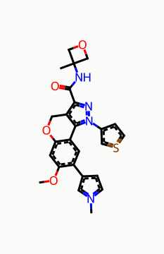 COc1cc2c(cc1-c1ccn(C)c1)-c1c(c(C(=O)NC3(C)COC3)nn1-c1ccsc1)CO2